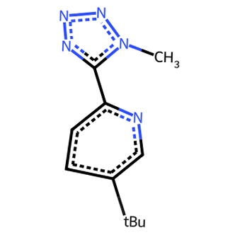 Cn1nnnc1-c1ccc(C(C)(C)C)cn1